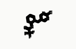 O=C(/N=c1\ccccn1Cc1cnc(Cl)nc1)C(F)(F)F